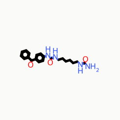 NC(=O)NCCCCCCNC(=O)Nc1ccc(C(=O)c2ccccc2)cc1